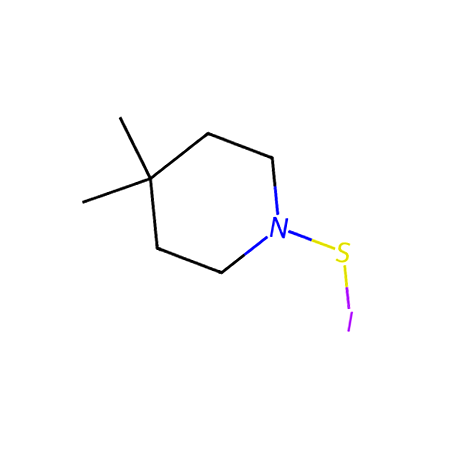 CC1(C)CCN(SI)CC1